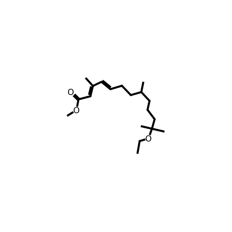 CCOC(C)(C)CCCC(C)CCC=CC(C)=CC(=O)OC